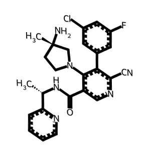 C[C@H](NC(=O)c1cnc(C#N)c(-c2cc(F)cc(Cl)c2)c1N1CC[C@](C)(N)C1)c1ccccn1